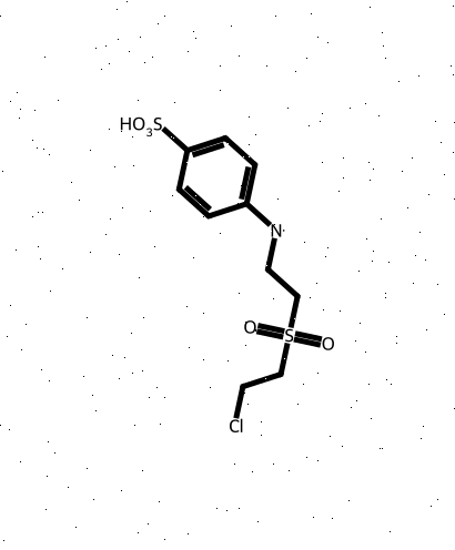 O=S(=O)(CCCl)CC[N]c1ccc(S(=O)(=O)O)cc1